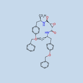 O=C(O)[C@H](Cc1ccc(OCc2ccccc2)cc1)NC(=O)[C@H]1O[C@@H]1C(=O)N[C@@H](Cc1ccc(OCc2ccccc2)cc1)C(=O)O